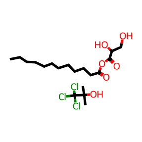 CC(C)(O)C(Cl)(Cl)Cl.CCCCCCCCCCCC(=O)OC(=O)C(O)CO